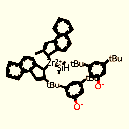 CC(C)(C)c1cc([O-])cc(C(C)(C)C)c1.CC(C)(C)c1cc([O-])cc(C(C)(C)C)c1.CC1=Cc2c(ccc3ccccc23)[CH]1[Zr+2]([CH]1C(C)=Cc2c1ccc1ccccc21)[SiH](C)C